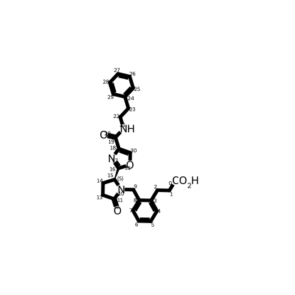 O=C(O)CCc1ccccc1CN1C(=O)CC[C@H]1c1nc(C(=O)NCCc2ccccc2)co1